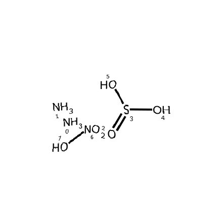 N.N.O=S(O)O.O=[N+]([O-])O